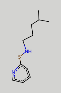 CC(C)CCCNSc1ccccn1